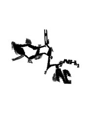 CC(=O)C(N)Cc1c[nH]c2ccccc12